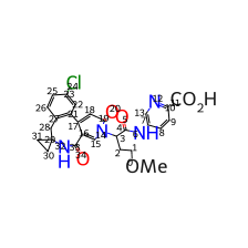 COCCC(C(=O)Nc1ccc(C(=O)O)nc1)n1cc2c(cc1=O)-c1cc(Cl)ccc1CC1(CC1)NC2=O